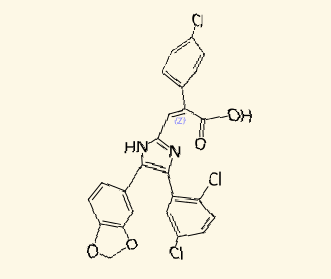 O=C(O)/C(=C\c1nc(-c2cc(Cl)ccc2Cl)c(-c2ccc3c(c2)OCO3)[nH]1)c1ccc(Cl)cc1